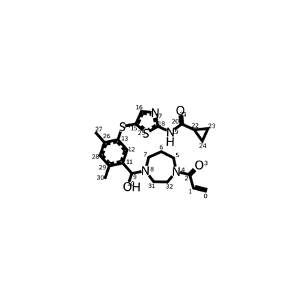 C=CC(=O)N1CCCN(C(O)c2cc(Sc3cnc(NC(=O)C4CC4)s3)c(C)cc2C)CC1